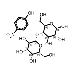 O=[N+]([O-])c1ccc(O)cc1.OC[C@H]1O[C@@H](O[C@H]2[C@H](O)[C@@H](O)[C@H](O)O[C@@H]2CO)[C@H](O)[C@@H](O)[C@H]1O